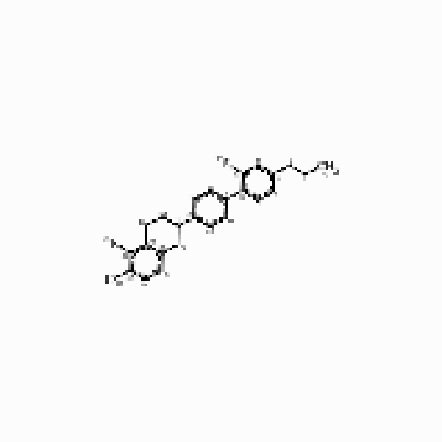 CCCc1ccc(-c2ccc(C3CCc4c(ccc(Cl)c4F)C3)cc2)c(F)c1